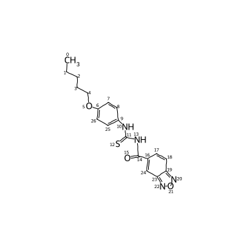 CCCCCOc1ccc(NC(=S)NC(=O)c2ccc3nonc3c2)cc1